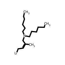 [Li][CH2]C=C(C)CN(CCCCCC)CCCCCC